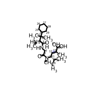 CN[C@@H]([C@@H](O)NCC(=O)N(C)[C@H](/C=C(\C)C(O)O)C(C)C)C(C)(C)C1CCCCC1